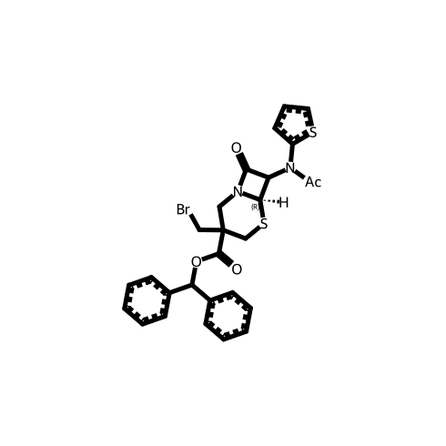 CC(=O)N(c1cccs1)C1C(=O)N2CC(CBr)(C(=O)OC(c3ccccc3)c3ccccc3)CS[C@H]12